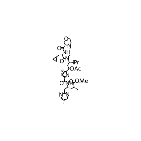 COC(=O)[C@@H](C)C[C@H](Cc1ncc(C)cn1)NC(=O)c1csc([C@@H](C[C@H](C(C)C)N(C)C(=O)[C@H](CC2CC2)NC(=O)[C@H]2COCCN2C)OC(C)=O)n1